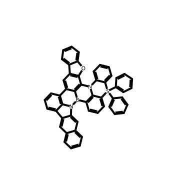 c1ccc(S2(c3ccccc3)c3ccccc3N3c4c(cccc42)B2c4c(cc5c(oc6ccccc65)c43)-c3cccc4c5cc6ccccc6cc5n2c34)cc1